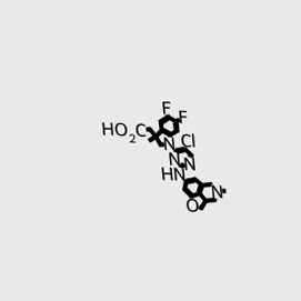 CN1Cc2cc(Nc3ncc(Cl)c(N4CC(C)(CC(=O)O)c5cc(F)c(F)cc54)n3)cc3c2C(CO3)C1